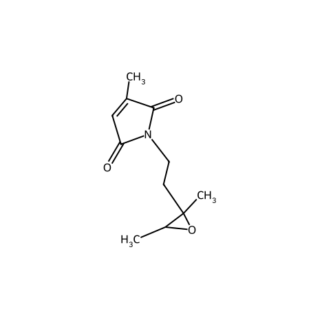 CC1=CC(=O)N(CCC2(C)OC2C)C1=O